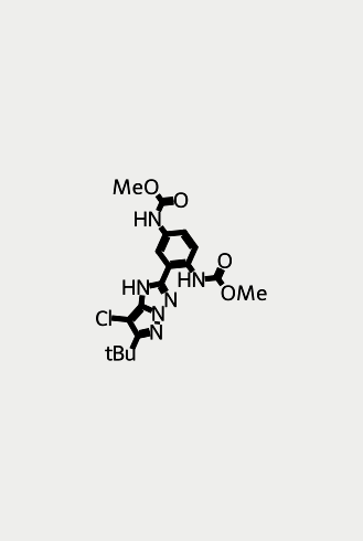 COC(=O)Nc1ccc(NC(=O)OC)c(-c2nn3nc(C(C)(C)C)c(Cl)c3[nH]2)c1